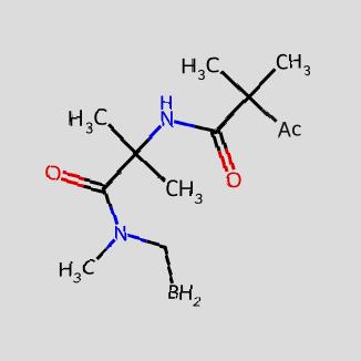 BCN(C)C(=O)C(C)(C)NC(=O)C(C)(C)C(C)=O